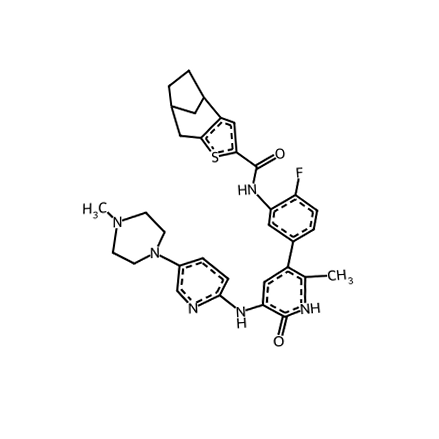 Cc1[nH]c(=O)c(Nc2ccc(N3CCN(C)CC3)cn2)cc1-c1ccc(F)c(NC(=O)c2cc3c(s2)CC2CCC3C2)c1